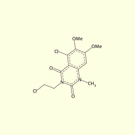 COc1cc2c(c(Cl)c1OC)c(=O)n(CCCl)c(=O)n2C